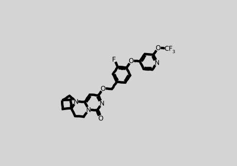 O=c1nc(OCc2ccc(Oc3ccnc(OC(F)(F)F)c3)c(F)c2)cc2n1CCC13CC(CN21)C3